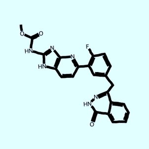 COC(=O)Nc1nc2nc(-c3cc(Cc4n[nH]c(=O)c5ccccc45)ccc3F)ccc2[nH]1